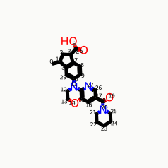 CC1CC(C(=O)O)c2ccc(N3CCOc4cc(C(=O)N5CCCCC5)cnc43)cc21